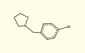 Brc1ccc(CN2CCCS2)cc1